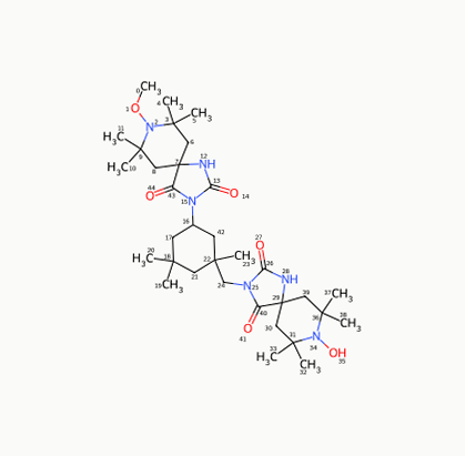 CON1C(C)(C)CC2(CC1(C)C)NC(=O)N(C1CC(C)(C)CC(C)(CN3C(=O)NC4(CC(C)(C)N(O)C(C)(C)C4)C3=O)C1)C2=O